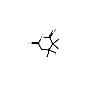 CC1(C)CC(=O)OC(=O)C1(C)C